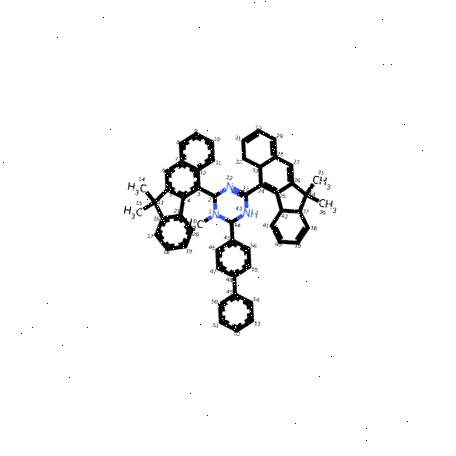 CN1C(c2c3c(cc4ccccc24)C(C)(C)c2ccccc2-3)N=C(C2=C3C(=CC4=CC=CCC42)C(C)(C)C2C=CC=CC32)NC1c1ccc(-c2ccccc2)cc1